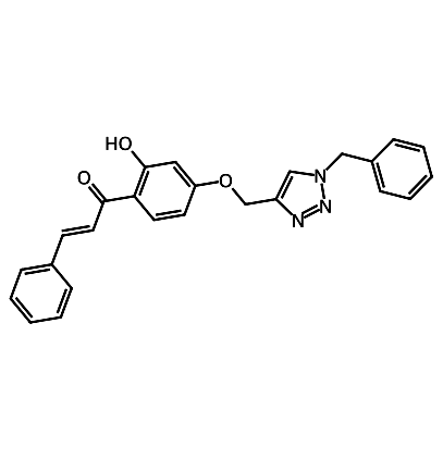 O=C(/C=C/c1ccccc1)c1ccc(OCc2cn(Cc3ccccc3)nn2)cc1O